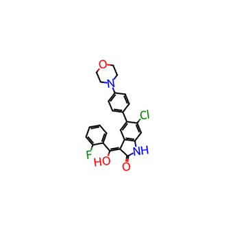 O=C1Nc2cc(Cl)c(-c3ccc(N4CCOCC4)cc3)cc2/C1=C(/O)c1ccccc1F